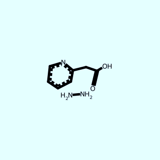 NN.O=C(O)Cc1ccccn1